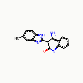 N#Cc1ccc2[nH]c(C3C(=O)N=c4ccccc4=C3N)nc2c1